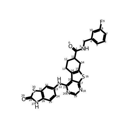 O=C(NCc1cccc(F)c1)C1CCc2c(sc3ncnc(Nc4ccc5[nH]c(=O)sc5c4)c23)C1